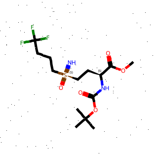 COC(=O)[C@H](CC[S@@](=N)(=O)CCCC(F)(F)F)NC(=O)OC(C)(C)C